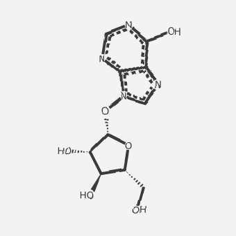 OC[C@H]1O[C@@H](On2cnc3c(O)ncnc32)[C@@H](O)[C@@H]1O